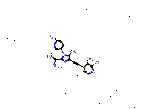 C=C(N)c1nc(C#Cc2ccnc(Cl)c2C)c(C)n1-c1ccc(C)nc1